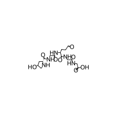 O=CCC[C@H](NC(=O)CNC(=O)[C@H]1C[C@H](O)CN1)C(=O)NCC(=O)NCC(=O)O